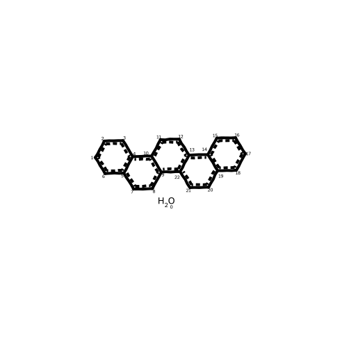 O.c1ccc2c(c1)ccc1c2ccc2c3ccccc3ccc21